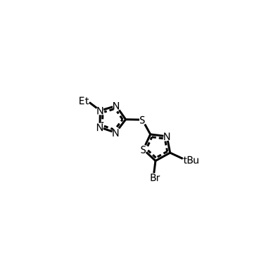 CCn1nnc(Sc2nc(C(C)(C)C)c(Br)s2)n1